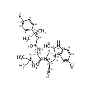 CC(C)(C)C[C@H](NC(=O)OC(C)(C)c1ccc(F)cc1)C(=O)N1C[C@@]2(C[C@H]1C#N)c1cc(Cl)ccc1NC2O